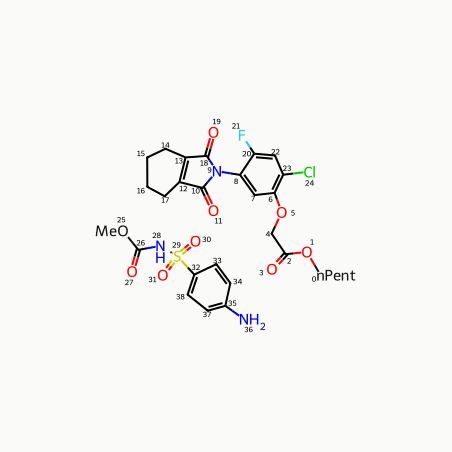 CCCCCOC(=O)COc1cc(N2C(=O)C3=C(CCCC3)C2=O)c(F)cc1Cl.COC(=O)NS(=O)(=O)c1ccc(N)cc1